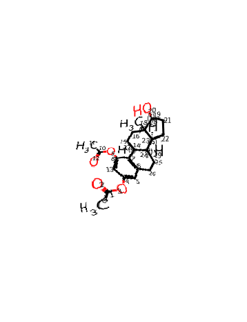 CC(=O)Oc1cc2c(c(OC(C)=O)c1)[C@H]1CC[C@]3(C)[C@@H](O)CC[C@H]3[C@H]1CC2